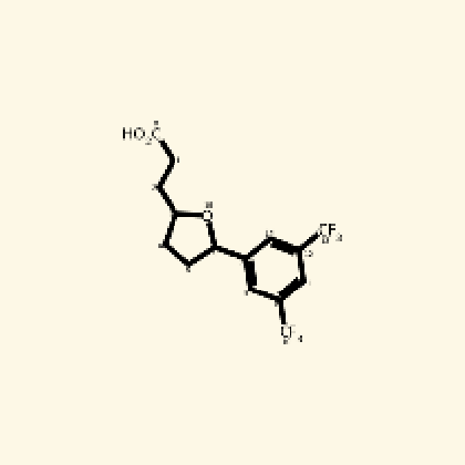 O=C(O)CCC1CCC(c2cc(C(F)(F)F)cc(C(F)(F)F)c2)O1